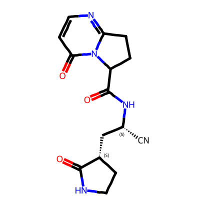 N#C[C@H](C[C@@H]1CCNC1=O)NC(=O)C1CCc2nccc(=O)n21